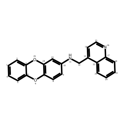 c1ccc2c(c1)Oc1ccc(NCc3ccnc4ccccc34)cc1O2